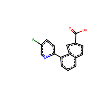 O=C(O)c1ccc2cccc(-c3ccc(F)cn3)c2c1